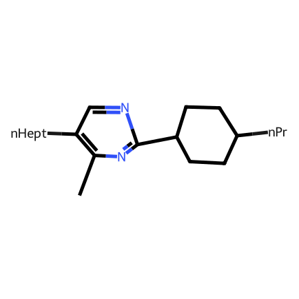 CCCCCCCc1cnc(C2CCC(CCC)CC2)nc1C